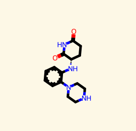 O=C1CC[C@H](Nc2ccccc2N2CCNCC2)C(=O)N1